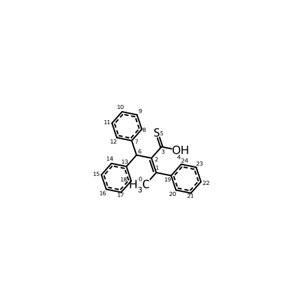 CC(=C(C(O)=S)C(c1ccccc1)c1ccccc1)c1ccccc1